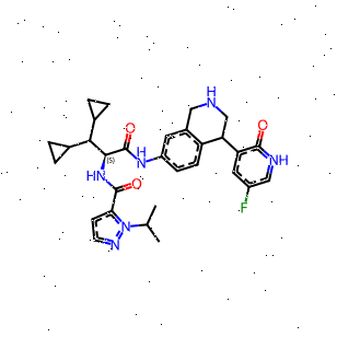 CC(C)n1nccc1C(=O)N[C@H](C(=O)Nc1ccc2c(c1)CNCC2c1cc(F)c[nH]c1=O)C(C1CC1)C1CC1